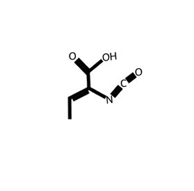 CC=C(N=C=O)C(=O)O